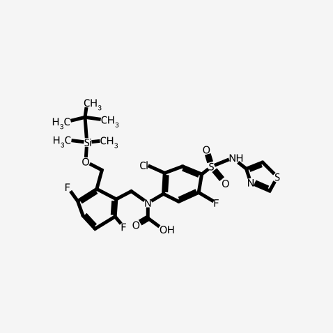 CC(C)(C)[Si](C)(C)OCc1c(F)ccc(F)c1CN(C(=O)O)c1cc(F)c(S(=O)(=O)Nc2cscn2)cc1Cl